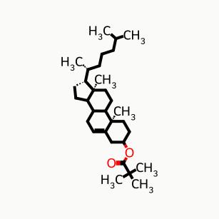 CC(C)CCC[C@@H](C)[C@H]1CCC2C3CC=C4CC(OC(=O)C(C)(C)C)CC[C@]4(C)C3CC[C@@]21C